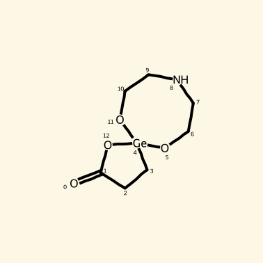 O=C1C[CH2][Ge]2([O]CCNCC[O]2)[O]1